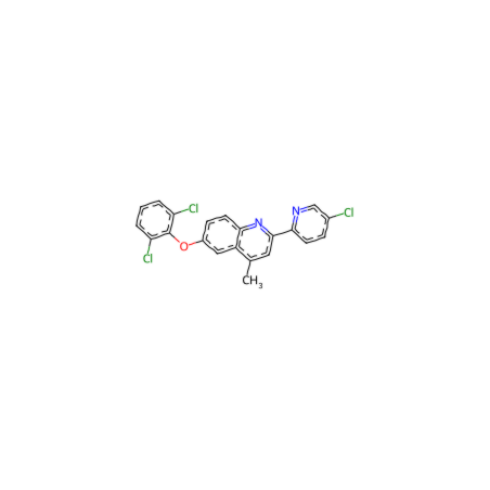 Cc1cc(-c2ccc(Cl)cn2)nc2ccc(Oc3c(Cl)cccc3Cl)cc12